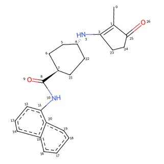 CC1=C(N[C@H]2CC[C@H](C(=O)Nc3cccc4ccccc34)CC2)CCC1=O